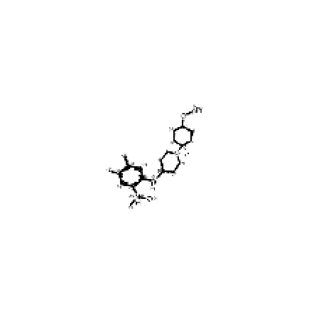 CCCO[C@H]1CC[C@@](C)(N2CCC(Nc3cc(C)c(F)cc3[NH+](C)[O-])CC2)CC1